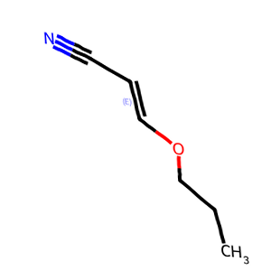 CCCO/C=C/C#N